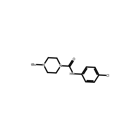 CC(C)(C)N1CCN(C(=O)Nc2ccc(Cl)cc2)CC1